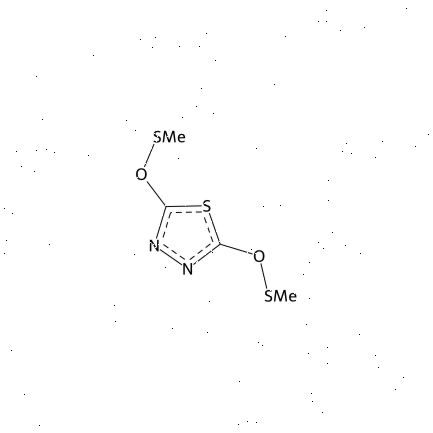 CSOc1nnc(OSC)s1